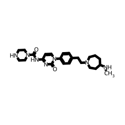 CNC1CCCN(CCc2ccc(-n3ccc(NC(=O)N4CCNCC4)nc3=O)cc2)CC1